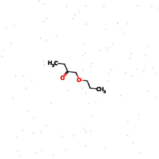 CCCOCC(=O)CC